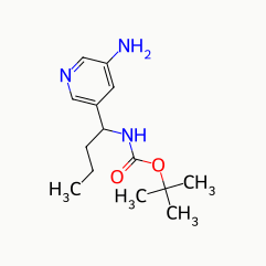 CCCC(NC(=O)OC(C)(C)C)c1cncc(N)c1